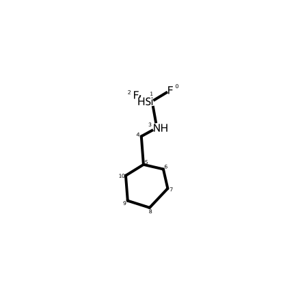 F[SiH](F)NCC1CCCCC1